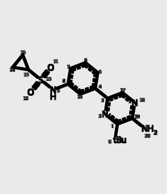 CC(C)(C)c1nc(-c2cccc(NS(=O)(=O)C3CC3)c2)cnc1N